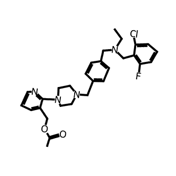 CCN(Cc1ccc(CN2CCN(c3ncccc3COC(C)=O)CC2)cc1)Cc1c(F)cccc1Cl